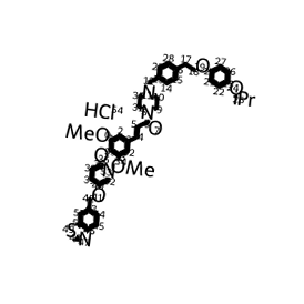 COc1cc(/C=C/C(=O)N2CCN(Cc3ccc(CCOc4ccc(OC(C)C)cc4)cc3)CC2)cc(OC)c1Oc1ccc(OCc2ccc3ncsc3c2)cn1.Cl